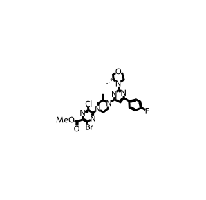 COC(=O)c1nc(Cl)c(N2CCN(c3cc(-c4ccc(F)cc4)nc(N4CCOC[C@H]4C)n3)C(C)C2)nc1Br